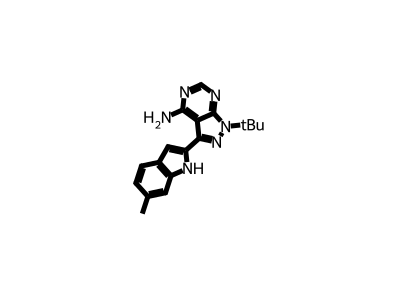 Cc1ccc2cc(-c3nn(C(C)(C)C)c4ncnc(N)c34)[nH]c2c1